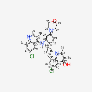 Cc1nc2c(C)cc(Cl)cc2c(N2CC(C)(C)c3ccc(N4CCOCC4)cc32)c1C.Cc1nc2c(C)cc(Cl)cc2c(O)c1C